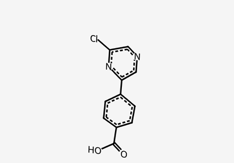 O=C(O)c1ccc(-c2cncc(Cl)n2)cc1